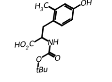 Cc1cc(O)ccc1CC(NC(=O)OC(C)(C)C)C(=O)O